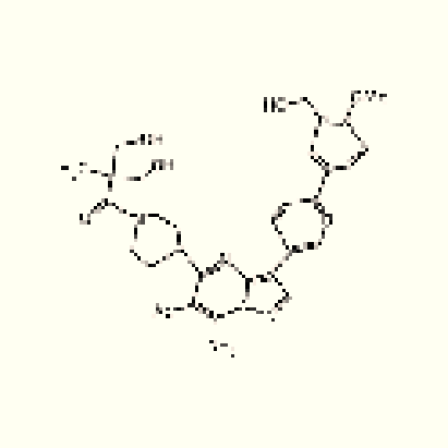 COc1ccc(-c2ccc(-c3cnn4c(N)c(C(C)=O)c(C5CCN(C(=O)C(C)(CO)CO)CC5)nc34)cn2)cc1CO